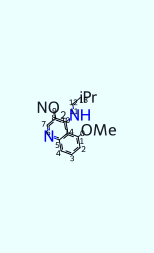 COc1cccc2ncc([N+](=O)[O-])c(NCC(C)C)c12